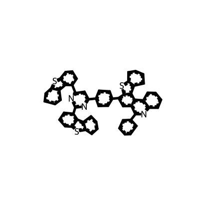 c1ccc(-c2nc3ccccc3c3c2cc(-c2ccc(-c4cc(-c5cccc6sc7ccccc7c56)nc(-c5cccc6sc7ccccc7c56)n4)cc2)c2sc4ccccc4c23)cc1